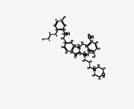 CCCCc1ccc(C)cc1NCc1ccc2nc(NCCCN3CCOCC3)n(Cc3nc(C)ccc3O)c2c1